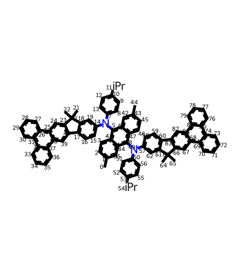 Cc1ccc2c(N(c3ccc(C(C)C)cc3)c3ccc4c(c3)C(C)(C)c3cc5c6ccccc6c6ccccc6c5cc3-4)c3cc(C)ccc3c(N(c3ccc(C(C)C)cc3)c3ccc4c(c3)C(C)(C)c3cc5c6ccccc6c6ccccc6c5cc3-4)c2c1